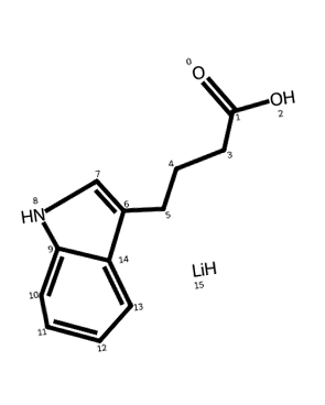 O=C(O)CCCc1c[nH]c2ccccc12.[LiH]